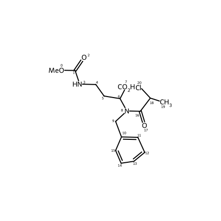 COC(=O)NCCC(C(=O)O)N(Cc1ccccc1)C(=O)C(C)Cl